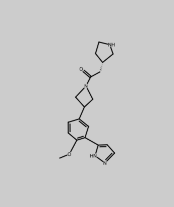 COc1ccc(C2CN(C(=O)C[C@@H]3CCNC3)C2)cc1-c1ccn[nH]1